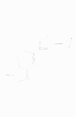 Ic1cnn2cc(-c3cnn(C4CC4)c3)cnc12